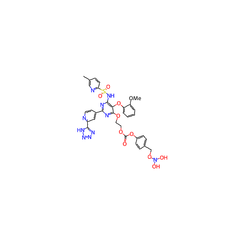 COc1ccccc1Oc1c(NS(=O)(=O)c2ccc(C)cn2)nc(-c2ccnc(-c3nnn[nH]3)c2)nc1OCCOC(=O)Oc1ccc(CON(O)O)cc1